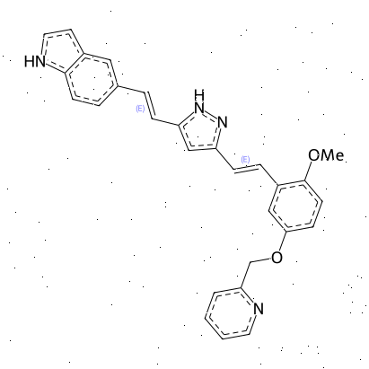 COc1ccc(OCc2ccccn2)cc1/C=C/c1cc(/C=C/c2ccc3[nH]ccc3c2)[nH]n1